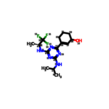 CC(C)Nc1nc(N[C@H](C)C(F)(F)F)nc(C2=CC(O)CCC2)n1